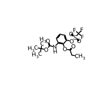 CCC(=O)Oc1c(NC(=O)OC(C)(C)C)cccc1OS(=O)(=O)C(F)(F)F